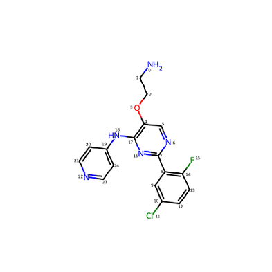 NCCOc1cnc(-c2cc(Cl)ccc2F)nc1Nc1ccncc1